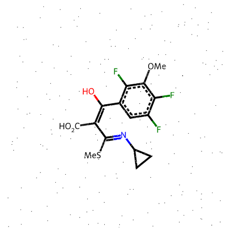 COc1c(F)c(F)cc(C(O)=C(C(=O)O)C(=NC2CC2)SC)c1F